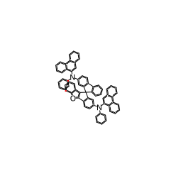 c1ccc(N(c2ccc3c(c2)C2(c4ccccc4-3)c3cc(N(c4ccccc4)c4cc5ccccc5c5ccccc45)ccc3-c3oc4ccccc4c32)c2cc3ccccc3c3ccccc23)cc1